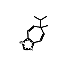 CC(C)C1(C)C=Cc2nc[nH]c2C=C1